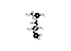 CC(=O)Nc1ccc(C)cc1OCC(O)CN1CC(C)N(Cc2ccc(Cl)c(Cl)c2)CC1C